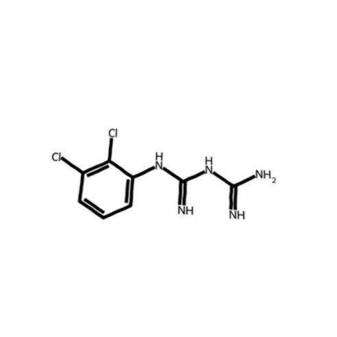 N=C(N)NC(=N)Nc1cccc(Cl)c1Cl